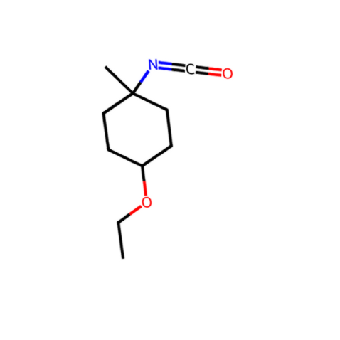 CCOC1CCC(C)(N=C=O)CC1